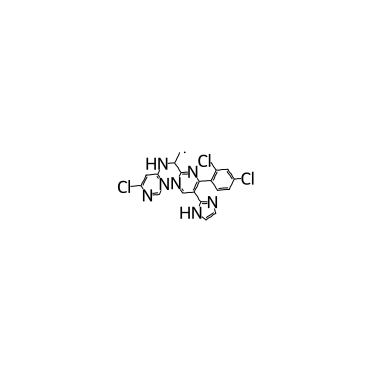 [CH2]C(Nc1cc(Cl)ncn1)c1ncc(-c2ncc[nH]2)c(-c2ccc(Cl)cc2Cl)n1